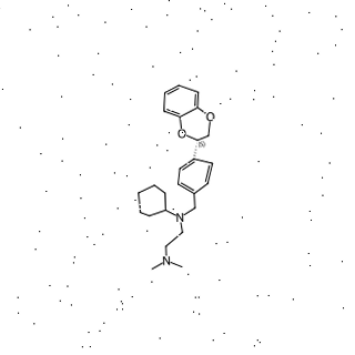 CN(C)CCN(Cc1ccc([C@H]2COc3ccccc3O2)cc1)C1CCCCC1